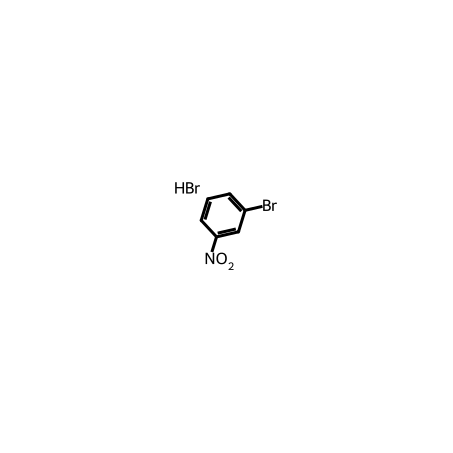 Br.O=[N+]([O-])c1cccc(Br)c1